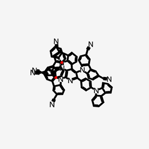 N#Cc1ccc2c(c1)c1cc(C#N)ccc1n2-c1nc(-c2ccc(-n3c4ccccc4c4ccccc43)cc2)c(-n2c3ccc(C#N)cc3c3cc(C#N)ccc32)c(-c2cccc3c4ccccc4n(-c4ccccc4)c23)c1-n1c2ccc(C#N)cc2c2cc(C#N)ccc21